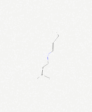 CCCCCCCCCNCCC(CC)CC